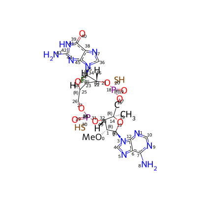 CO[C@H]1[C@H](n2cnc3c(N)ncnc32)O[C@]2(C)CO[P@@](=O)(S)O[C@@H]3[C@H](F)[C@@H](CO[P@@](=O)(S)O[C@@H]12)O[C@H]3n1cnc2c(=O)[nH]c(N)nc21